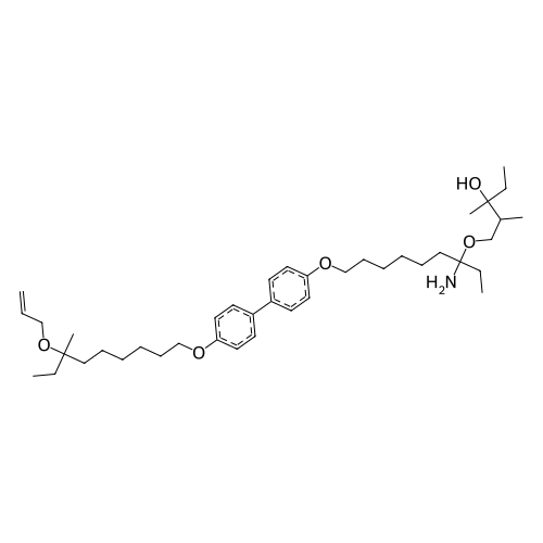 C=CCOC(C)(CC)CCCCCCOc1ccc(-c2ccc(OCCCCCCC(N)(CC)OCC(C)C(C)(O)CC)cc2)cc1